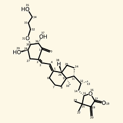 C=C1/C(=C\C=C2/CCC[C@]3(C)[C@@H]([C@H](C)C[C@@H]4OC(=O)C(=C)C4(C)C)CC[C@@H]23)C[C@@H](O)[C@H](OCCCO)[C@@H]1O